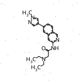 CCN(CC)CC(=O)Nc1cc2cc(-c3cnn(C)c3)ccc2cn1